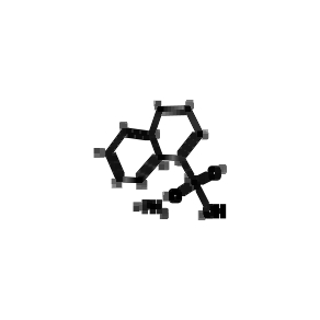 O=S(=O)(O)c1cccc2ccccc12.P